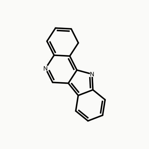 C1=CCc2c3c(cnc2=C1)=c1ccccc1=N3